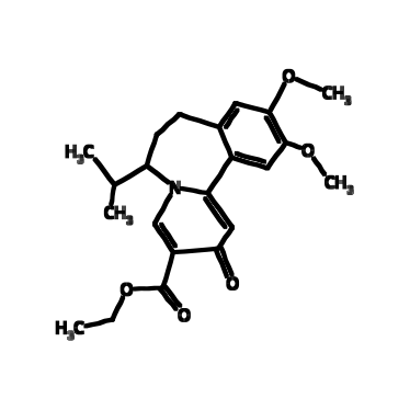 CCOC(=O)c1cn2c(cc1=O)-c1cc(OC)c(OC)cc1CCC2C(C)C